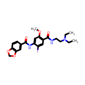 CCN(CC)CCNC(=O)c1cc(I)c(NC(=O)c2ccc3c(c2)OCO3)cc1OC